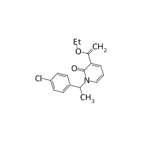 C=C(OCC)c1cccn(C(C)c2ccc(Cl)cc2)c1=O